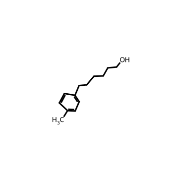 Cc1ccc(CCCCCCO)cc1